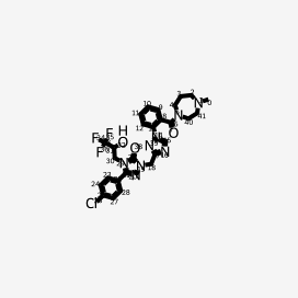 CN1CCCN(C(=O)c2ccccc2-n2cnc(Cn3nc(-c4ccc(Cl)cc4)n(CC(O)C(F)(F)F)c3=O)n2)CC1